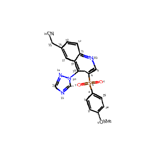 COc1ccc(S(=O)(=O)c2cnc3ccc(CC#N)cc3c2-n2cncn2)cc1